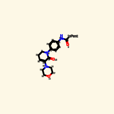 CCCCCC(=O)Nc1ccc(N2CCC=C(N3CCOCC3)C2=O)cc1